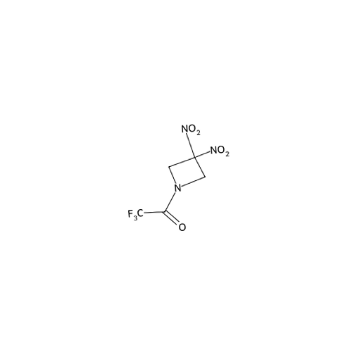 O=C(N1CC([N+](=O)[O-])([N+](=O)[O-])C1)C(F)(F)F